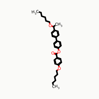 CCCCCCOc1ccc(C(=O)Oc2ccc(-c3ccc(C(C)OCCCCCC)cc3)cc2)cc1